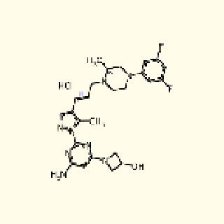 Cc1c(/C=C/CN2CCN(c3cc(F)cc(F)c3)C[C@@H]2C)cnn1-c1nc(N)cc(N2CC(O)C2)n1.Cl